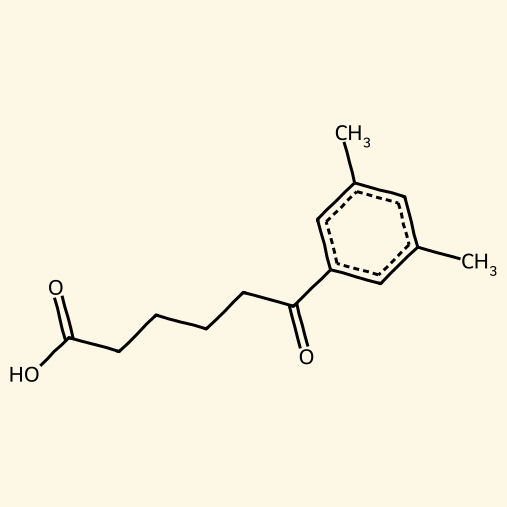 Cc1cc(C)cc(C(=O)CCCCC(=O)O)c1